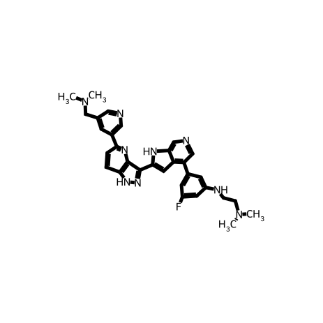 CN(C)CCNc1cc(F)cc(-c2cncc3[nH]c(-c4n[nH]c5ccc(-c6cncc(CN(C)C)c6)nc45)cc23)c1